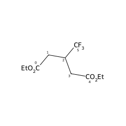 CCOC(=O)CC(CC(=O)OCC)C(F)(F)F